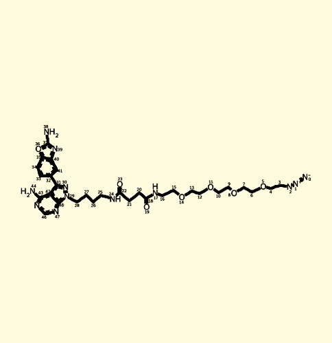 [N-]=[N+]=NCCOCCOCCOCCOCCNC(=O)CCC(=O)NCCCCn1nc(-c2ccc3oc(N)nc3c2)c2c(N)ncnc21